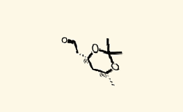 C[C@@H]1C[C@H](CC=O)OC(C)(C)O1